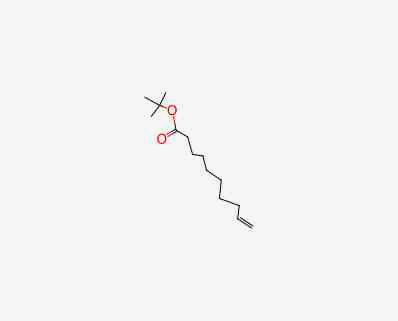 C=CCCCCCCCC(=O)OC(C)(C)C